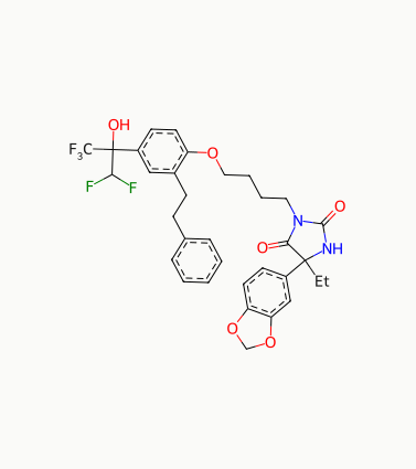 CCC1(c2ccc3c(c2)OCO3)NC(=O)N(CCCCOc2ccc(C(O)(C(F)F)C(F)(F)F)cc2CCc2ccccc2)C1=O